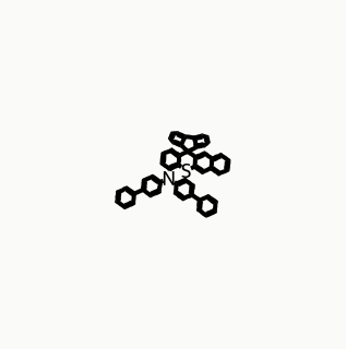 c1ccc(-c2ccc(N(c3ccc(-c4ccccc4)cc3)c3cccc4c3Sc3cc5ccccc5cc3C43c4ccccc4-c4ccccc43)cc2)cc1